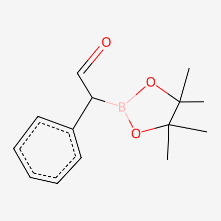 CC1(C)OB(C(C=O)c2ccccc2)OC1(C)C